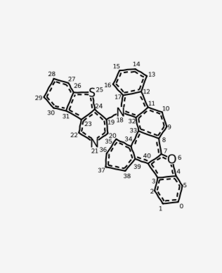 c1ccc2c(c1)oc1c3ccc4c5ccccc5n(-c5cncc6c5sc5ccccc56)c4c3c3ccccc3c21